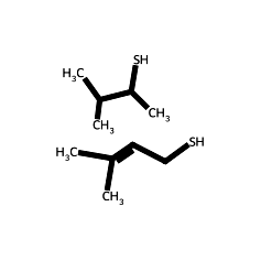 CC(C)=CCS.CC(C)C(C)S